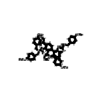 COc1ccc(CNc2nc3c(-c4ccc(C(F)CO)c(S(=O)(=O)N(Cc5ccc(OC)cc5)Cc5ccc(OC)cc5)c4-c4nnnn4Cc4ccc(OC)cc4)cccc3s2)cc1